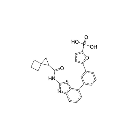 O=C(Nc1nc2cccc(-c3cccc(-c4ccc(P(=O)(O)O)o4)c3)c2s1)C1CC12CCC2